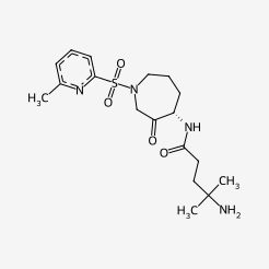 Cc1cccc(S(=O)(=O)N2CCC[C@H](NC(=O)CCC(C)(C)N)C(=O)C2)n1